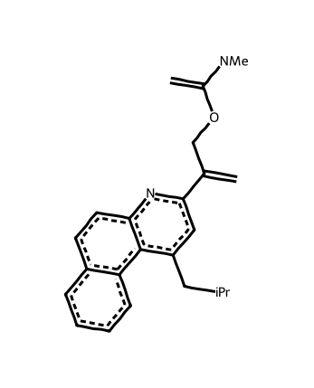 C=C(NC)OCC(=C)c1cc(CC(C)C)c2c(ccc3ccccc32)n1